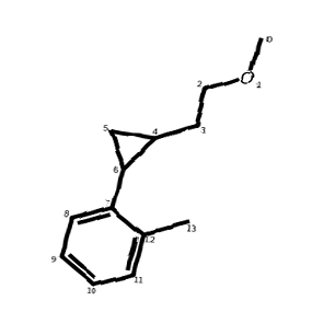 COCCC1CC1c1ccccc1C